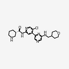 O=C(Nc1cc(-c2cncc(NCC3CCOCC3)n2)c(Cl)cn1)[C@H]1CCCNC1